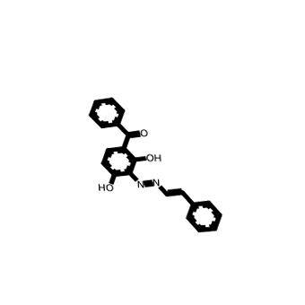 O=C(c1ccccc1)c1ccc(O)c(N=NC=Cc2ccccc2)c1O